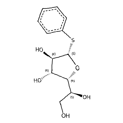 OC[C@H](O)[C@H]1O[C@@H](Sc2ccccc2)[C@H](O)[C@H]1O